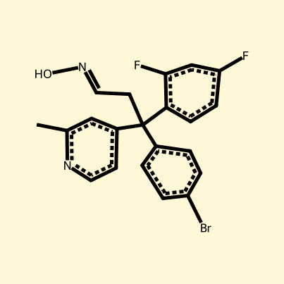 Cc1cc(C(CC=NO)(c2ccc(Br)cc2)c2ccc(F)cc2F)ccn1